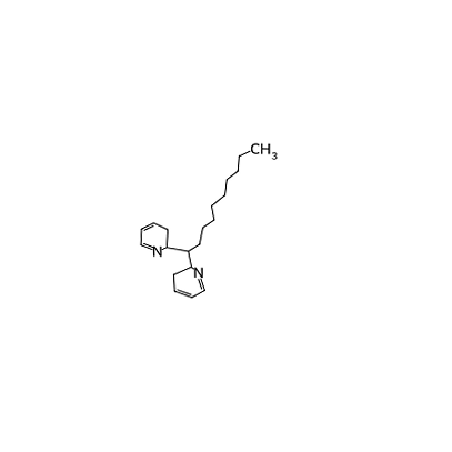 CCCCCCCCCC(C1CC=CC=N1)C1CC=CC=N1